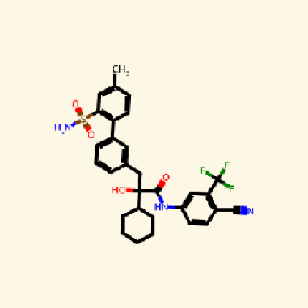 Cc1ccc(-c2cccc(CC(O)(C(=O)Nc3ccc(C#N)c(C(F)(F)F)c3)C3CCCCC3)c2)c(S(N)(=O)=O)c1